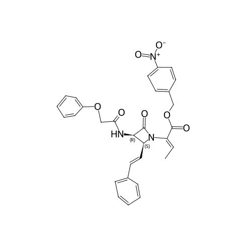 CC=C(C(=O)OCc1ccc([N+](=O)[O-])cc1)N1C(=O)[C@H](NC(=O)COc2ccccc2)[C@@H]1C=Cc1ccccc1